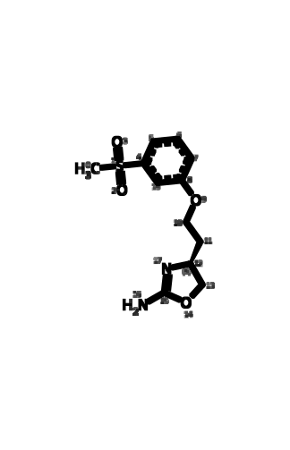 CS(=O)(=O)c1cccc(OCC[C@H]2COC(N)=N2)c1